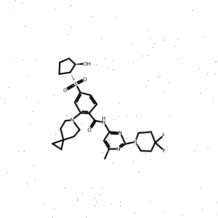 Cc1cc(NC(=O)c2ccc(S(=O)(=O)[C@@H]3CCC[C@H]3O)cc2N2CCC3(CC2)CC3)nc(N2CCC(F)(F)CC2)n1